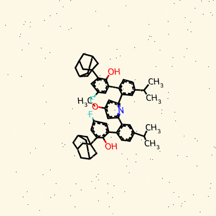 COc1cc(-c2cc(C(C)C)ccc2-c2cc(F)cc(C34CC5CC(CC(C5)C3)C4)c2O)nc(-c2cc(C(C)C)ccc2-c2cc(F)cc(C34CC5CC(CC(C5)C3)C4)c2O)c1